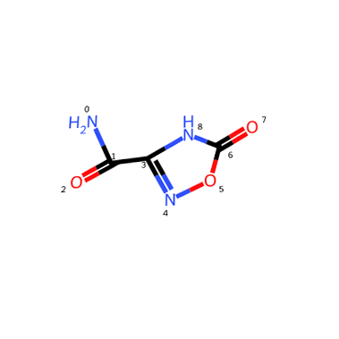 NC(=O)c1noc(=O)[nH]1